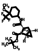 COC1(C(F)(F)F)CCCC(NC(=O)[C@@H]2C[C@H]3C[C@H]3N2C(=O)OC(C)(C)C)C1